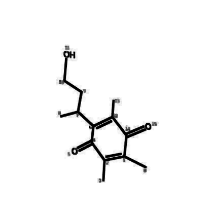 CC1=C(C)C(=O)C(C(C)CCO)=C(C)C1=O